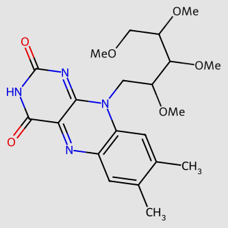 COCC(OC)C(OC)C(Cn1c2nc(=O)[nH]c(=O)c-2nc2cc(C)c(C)cc21)OC